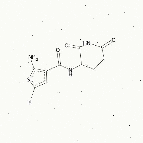 Nc1sc(F)cc1C(=O)NC1CCC(=O)NC1=O